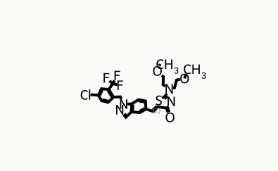 COCCN(CCOC)C1=NC(=O)/C(=C/c2ccc3c(cnn3Cc3ccc(Cl)cc3C(F)(F)F)c2)S1